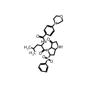 CC(C)CC(NC(=O)c1ccc(N2CCOCC2)cc1)C(=O)N1C2C(=O)CNC2CC1S(=O)(=O)c1ccccc1